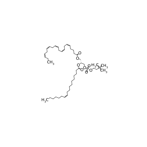 CC/C=C\C/C=C\C/C=C\C/C=C\C/C=C\CCCC(=O)OC[C@H](COP(=O)([O-])OCC[N+](C)(C)C)OC(=O)CCCCCCCCC/C=C\CCCCCC